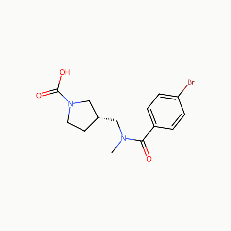 CN(C[C@@H]1CCN(C(=O)O)C1)C(=O)c1ccc(Br)cc1